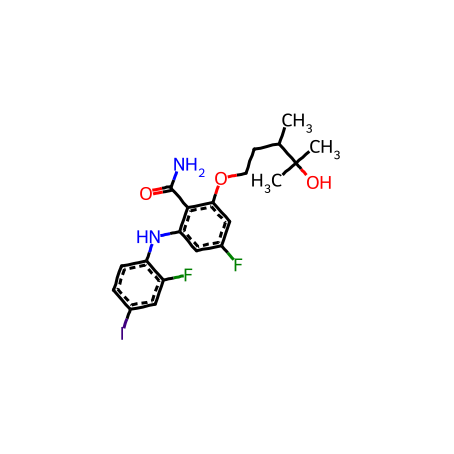 CC(CCOc1cc(F)cc(Nc2ccc(I)cc2F)c1C(N)=O)C(C)(C)O